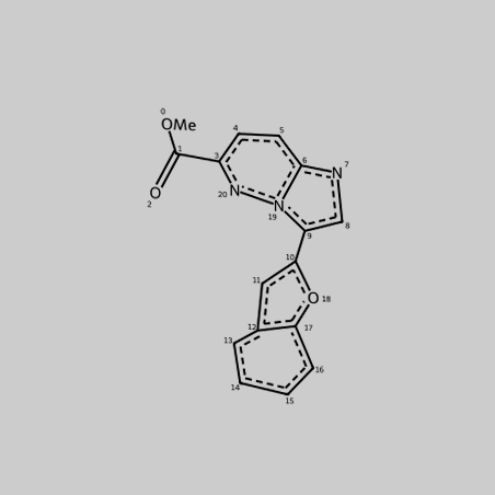 COC(=O)c1ccc2ncc(-c3cc4ccccc4o3)n2n1